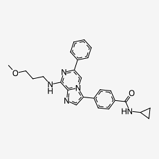 COCCCNc1nc(-c2ccccc2)cn2c(-c3ccc(C(=O)NC4CC4)cc3)cnc12